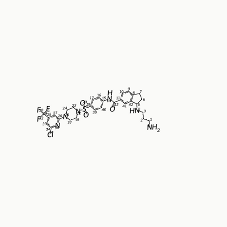 NCCCNC1CCc2ccc(C(=O)Nc3ccc(S(=O)(=O)N4CCN(c5cc(C(F)(F)F)cc(Cl)n5)CC4)cc3)cc21